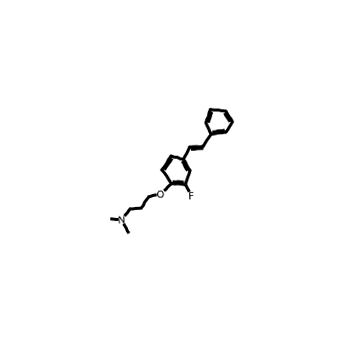 CN(C)CCCOc1ccc(C=Cc2ccccc2)cc1F